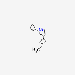 C=Cc1ccc(-c2ccnc(-c3ccccc3)c2)cc1